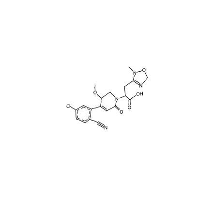 COC1CN(C(CC2=NCON2C)C(=O)O)C(=O)C=C1c1cc(Cl)ccc1C#N